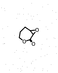 O=C1OCCCC2OC12